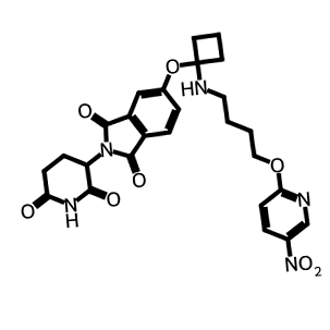 O=C1CCC(N2C(=O)c3ccc(OC4(NCCCCOc5ccc([N+](=O)[O-])cn5)CCC4)cc3C2=O)C(=O)N1